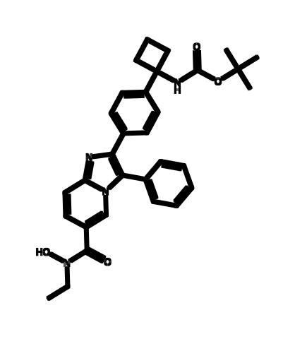 CCN(O)C(=O)c1ccc2nc(-c3ccc(C4(NC(=O)OC(C)(C)C)CCC4)cc3)c(-c3ccccc3)n2c1